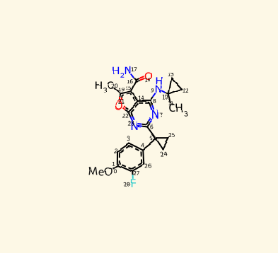 COc1ccc(C2(c3nc(NC4(C)CC4)c4c(C(N)=O)c(C)oc4n3)CC2)cc1F